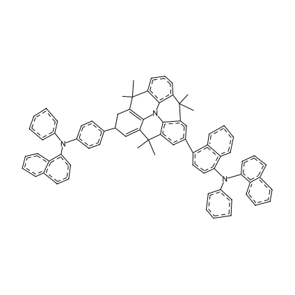 CC1(C)C2=CC(c3ccc(N(c4ccccc4)c4cccc5ccccc45)cc3)CC3=C2N2c4c1cc(-c1ccc(N(c5ccccc5)c5cccc6ccccc56)c5ccccc15)cc4C(C)(C)c1cccc(c12)C3(C)C